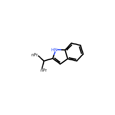 CCCC(CCC)c1cc2ccccc2[nH]1